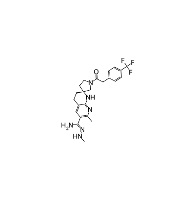 CN/N=C(\N)c1cc2c(nc1C)N[C@]1(CC2)CCN(C(=O)Cc2ccc(C(F)(F)F)cc2)C1